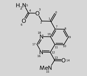 C=C(COC(N)=O)c1cccc2c(C(=O)NC)ncnc12